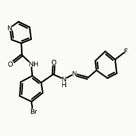 O=C(Nc1ccc(Br)cc1C(=O)NN=Cc1ccc(F)cc1)c1cccnc1